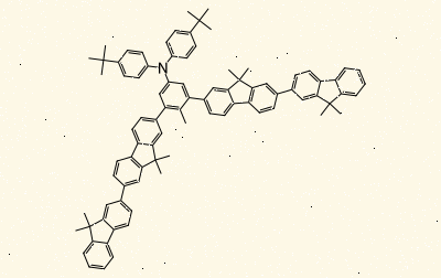 Cc1c(-c2ccc3c(c2)C(C)(C)c2cc(-c4ccc5c(c4)C(C)(C)c4ccccc4-5)ccc2-3)cc(N(c2ccc(C(C)(C)C)cc2)c2ccc(C(C)(C)C)cc2)cc1-c1ccc2c(c1)C(C)(C)c1cc(-c3ccc4c(c3)C(C)(C)c3ccccc3-4)ccc1-2